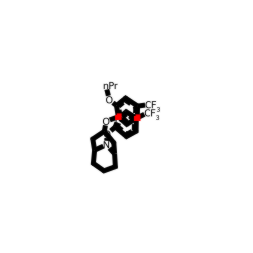 CCCOc1cc(C(F)(F)F)ccc1OC1CC2CCCC(C1)N2Oc1ccc(C(F)(F)F)cn1